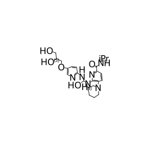 CC(C)NC(=O)c1ccc2c(n1)N(C(O)Nc1ccc(OC[C@@H](O)CO)cn1)[C@H]1CCCN2C1